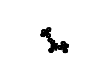 c1ccc(-c2nc(-c3ccc(-n4c5ccccc5c5ccccc54)c(-c4ccccc4)c3)nc(-c3ccc4cc(-c5ccc(-n6c7ccccc7c7ccccc76)c(-c6ccccc6)c5)ccc4c3)n2)cc1